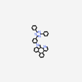 c1ccc(-c2nc(-c3ccccc3)nc(-c3cccc(-n4cc5c6c(cccc64)-c4ccccc4-c4cccnc4-5)c3)n2)cc1